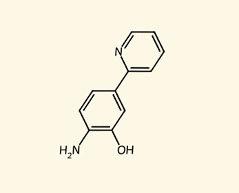 Nc1ccc(-c2ccccn2)cc1O